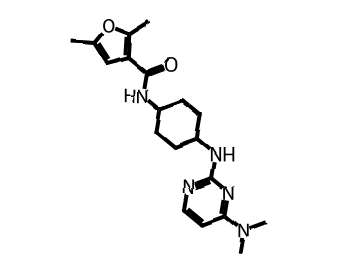 Cc1cc(C(=O)NC2CCC(Nc3nccc(N(C)C)n3)CC2)c(C)o1